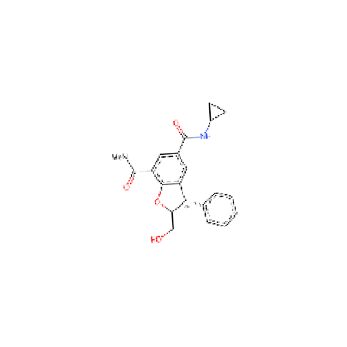 CNC(=O)c1cc(C(=O)NC2CC2)cc2c1OC(CO)[C@H]2c1ccccc1